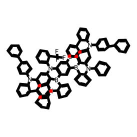 FC(F)(F)c1ccccc1N1c2cc3c(cc2B2c4ccccc4N(c4ccccc4)c4cc(N(c5ccc(-c6ccccc6)cc5)c5ccccc5-c5ccccc5)cc1c42)B1c2ccccc2N(c2ccccc2)c2cc(N(c4ccc(-c5ccccc5)cc4)c4ccccc4-c4ccccc4)cc(c21)S3